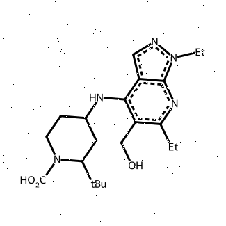 CCc1nc2c(cnn2CC)c(NC2CCN(C(=O)O)C(C(C)(C)C)C2)c1CO